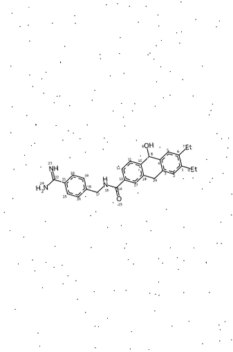 CCc1cc2c(cc1CC)C(O)c1ccc(C(=O)NCc3ccc(C(=N)N)cc3)cc1C2